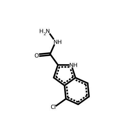 NNC(=O)c1cc2c(Cl)cccc2[nH]1